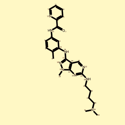 Cc1ccc(NC(=O)c2ccccn2)cc1Nc1nn(C)c2nc(NCCCCN(C)C)ncc12